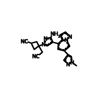 Cn1cc(-c2cc(-c3cn(C4(CC#N)CC(C#N)C4)nc3N)c3ccnn3c2)cn1